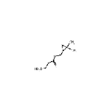 CC1(C)CC1COC(=O)CCC(=O)O